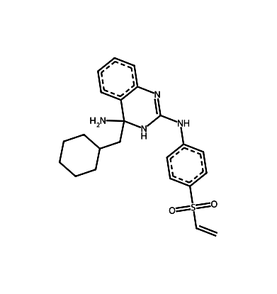 C=CS(=O)(=O)c1ccc(NC2=Nc3ccccc3C(N)(CC3CCCCC3)N2)cc1